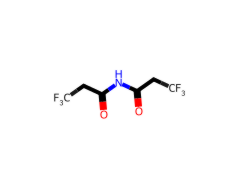 O=C(CC(F)(F)F)NC(=O)CC(F)(F)F